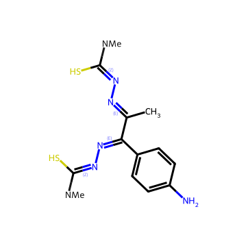 CN/C(S)=N/N=C(C)/C(=N/N=C(\S)NC)c1ccc(N)cc1